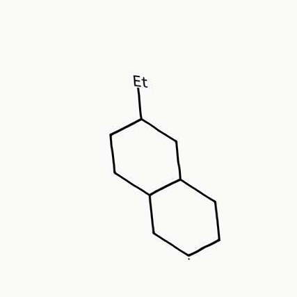 CCC1CCC2C[CH]CCC2C1